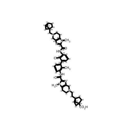 Cc1c(NC(=O)c2nc3c(n2C)CCN(CCC24CCC(C(=O)O)(CC2)C4)C3)cccc1-c1cccc(NC(=O)c2nc3c(n2C)CCN(CC24CCC(CC2)C4)C3)c1Cl